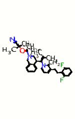 C=C(OC(C)(C)C#N)N1Cc2ccccc2C(C(=C(C)C)N2C=CC=C(CCc3c(F)cccc3F)C2=C)C1